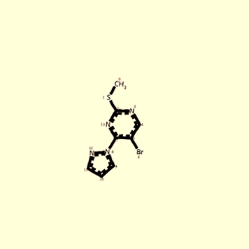 CSc1ncc(Br)c(-n2cccn2)n1